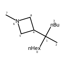 CCCCCCC(C)(CCCC)C1CN(C)C1